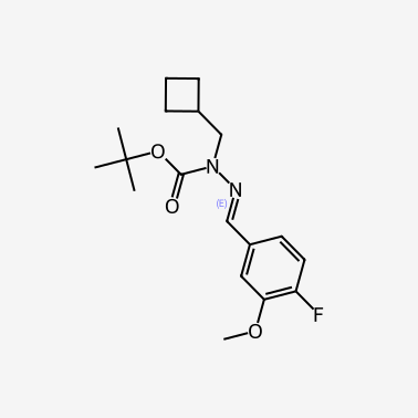 COc1cc(/C=N/N(CC2CCC2)C(=O)OC(C)(C)C)ccc1F